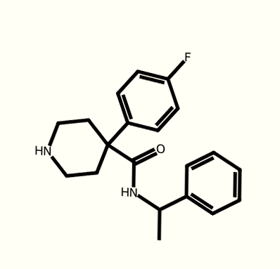 CC(NC(=O)C1(c2ccc(F)cc2)CCNCC1)c1ccccc1